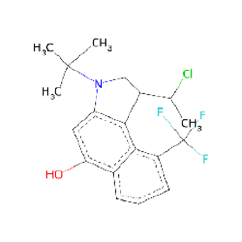 CC(Cl)C1CN(C(C)(C)C)c2cc(O)c3cccc(C(F)(F)F)c3c21